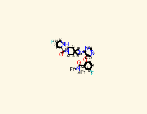 CCN(C(=O)c1cc(F)ccc1Oc1cncnc1N1CC2(CCN(C(=O)[C@@H]3C[C@H](F)CN3)CC2)C1)C(C)C